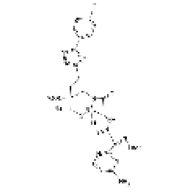 CON=C(C(=O)NC1C(=O)N2CC(CSc3nnc(-c4ccc(Cl)cc4)o3)(C(=O)[O-])CS[C@H]12)c1nccc(N)n1.[Na+]